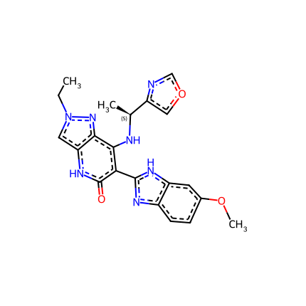 CCn1cc2[nH]c(=O)c(-c3nc4ccc(OC)cc4[nH]3)c(N[C@@H](C)c3cocn3)c2n1